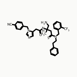 CC(CN)(CC(=S)N(CCc1ccccc1)Cc1ccccc1C(F)(F)F)NC(=O)Cc1cncn1Cc1ccc(C#N)cc1